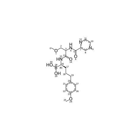 COCC(NC(=O)c1cnccn1)C(=O)N[C@@H](CCCc1ccc(OC)cc1)B(O)O